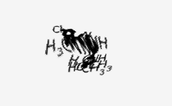 C[C@@H](NC(=O)c1c[nH]c2ncc(-c3nn(C)c4cc(Cl)ccc34)nc12)C(C)(C)O